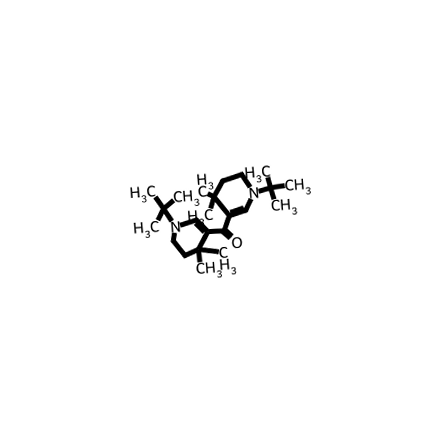 CC1(C)CCN(C(C)(C)C)C=C1C(=O)C1=CN(C(C)(C)C)CCC1(C)C